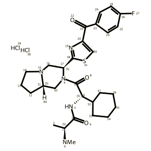 CN[C@@H](C)C(=O)N[C@H](C(=O)N1C[C@@H]2CCCN2C[C@H]1c1nc(C(=O)c2ccc(F)cc2)cs1)C1CCCCC1.Cl.Cl